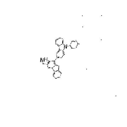 NCc1cc(-c2ccc3c(c2)c2ccccc2n3-c2ccccc2)c2c(c1)-c1ccccc1C2